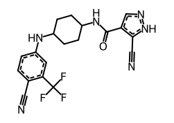 N#Cc1ccc(NC2CCC(NC(=O)c3cn[nH]c3C#N)CC2)cc1C(F)(F)F